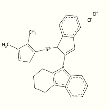 CC1=CC[C]([Ti+2][CH]2C(p3c4c(c5ccccc53)CCCC4)=Cc3ccccc32)=C1C.[Cl-].[Cl-]